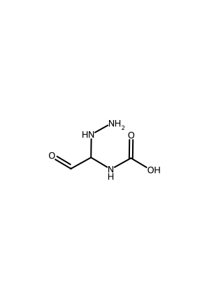 NNC(C=O)NC(=O)O